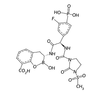 CS(=O)(=O)N1CCN(C(=O)N[C@@H](C(=O)N[C@H]2Cc3cccc(C(=O)O)c3OB2O)c2ccc(P(=O)(O)O)c(F)c2)C1=O